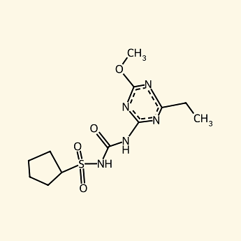 CCc1nc(NC(=O)NS(=O)(=O)C2CCCC2)nc(OC)n1